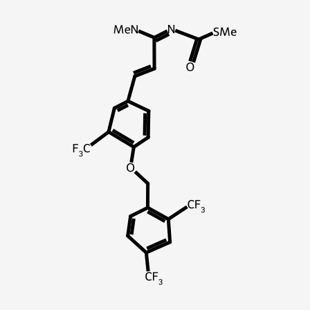 CNC(/C=C/c1ccc(OCc2ccc(C(F)(F)F)cc2C(F)(F)F)c(C(F)(F)F)c1)=N/C(=O)SC